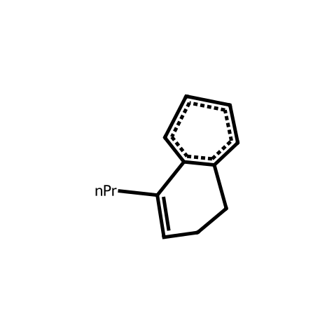 CCCC1=CCCc2ccccc21